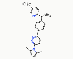 Cc1ccc(C)n1-c1ccc(-c2ccc(C(c3ccc(C=O)cn3)C(C)(C)C)cc2)nn1